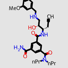 C#CC[C@H](NC(=O)c1cc(C(N)=O)cc(C(=O)N(CCC)CCC)c1)[C@H](O)CNCc1cccc(OC)c1